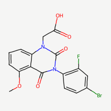 COc1cccc2c1c(=O)n(-c1ccc(Br)cc1F)c(=O)n2CC(=O)O